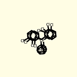 Clc1cccc(P(c2cccc(Cl)c2Cl)[C]23[CH]4[CH]5[CH]6[CH]2[Fe]56432789[CH]3[CH]2[CH]7[C]8(P(c2cccc(Cl)c2Cl)c2cccc(Cl)c2Cl)[CH]39)c1Cl